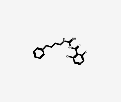 N=C(NCCCCc1ccccc1)NC(=O)c1c(Cl)cccc1Cl